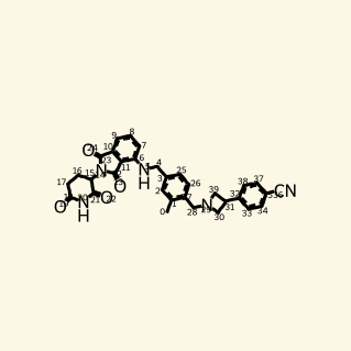 Cc1cc(CNc2cccc3c2C(=O)N(C2CCC(=O)NC2=O)C3=O)ccc1CN1CC(c2ccc(C#N)cc2)C1